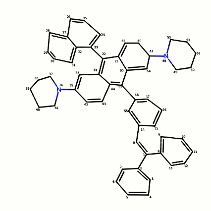 C(=C(c1ccccc1)c1ccccc1)c1cccc(-c2c3c(c(-c4cccc5ccccc45)c4cc(N5CCCCC5)ccc24)=CCC(N2CCCCC2)C=3)c1